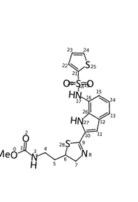 COC(=O)NCCC1CN=C(c2cc3cccc(NS(=O)(=O)c4cccs4)c3[nH]2)S1